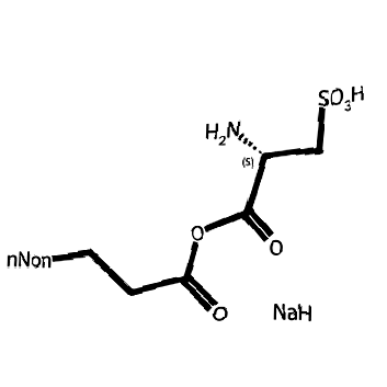 CCCCCCCCCCCC(=O)OC(=O)[C@H](N)CS(=O)(=O)O.[NaH]